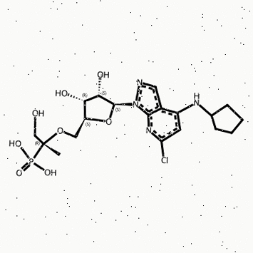 C[C@@](CO)(OC[C@@H]1O[C@H](n2ncc3c(NC4CCCC4)cc(Cl)nc32)[C@@H](O)[C@H]1O)P(=O)(O)O